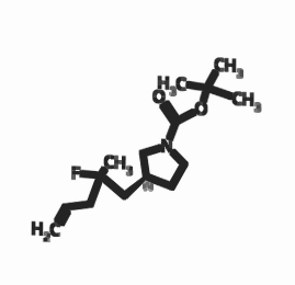 C=CCC(C)(F)C[C@@H]1CCN(C(=O)OC(C)(C)C)C1